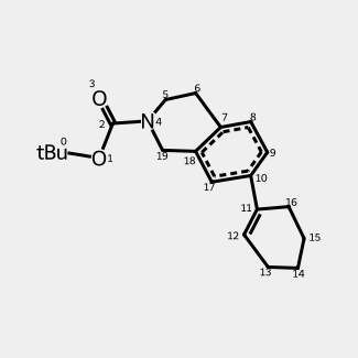 CC(C)(C)OC(=O)N1CCc2ccc(C3=CCCCC3)cc2C1